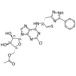 CC(=O)OC[C@H]1O[C@@H](n2cnc3c(N[C@@H](C=S)Cc4n[nH]c(-c5ccccc5)n4)nc(Cl)nc32)[C@H](O)[C@@H]1O